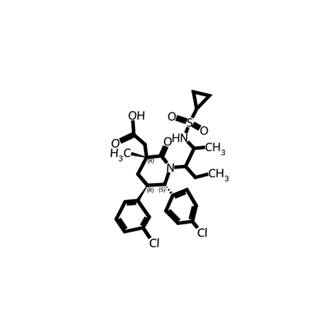 CCC(C(C)NS(=O)(=O)C1CC1)N1C(=O)[C@@](C)(CC(=O)O)C[C@H](c2cccc(Cl)c2)[C@H]1c1ccc(Cl)cc1